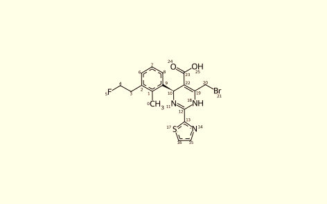 Cc1c(CCF)cccc1[C@@H]1N=C(c2nccs2)NC(CBr)=C1C(=O)O